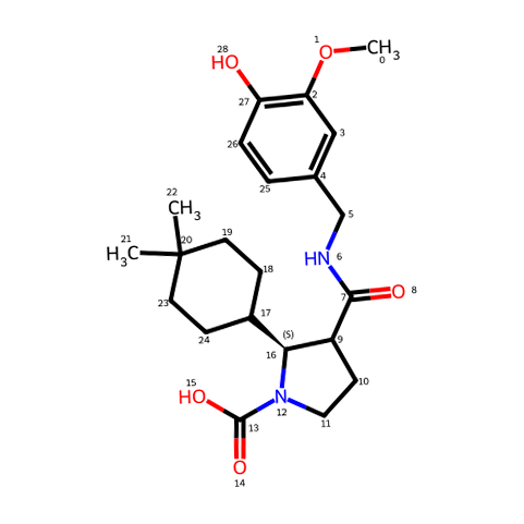 COc1cc(CNC(=O)C2CCN(C(=O)O)[C@H]2C2CCC(C)(C)CC2)ccc1O